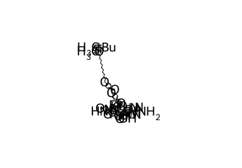 CC(C)(C)[Si](C)(C)OCCCCCCCCCCCCOc1ccc(C(=O)Oc2ccc(CSP3(=O)OC[C@H]4O[C@@H](n5cnc6c(N)ncnc65)[C@H](F)[C@@H]4OP(=O)(O)OC[C@H]4O[C@@H](n5ccc(=O)[nH]c5=O)[C@H](F)[C@@H]4O3)cc2)cc1